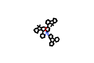 CC1(C)c2ccccc2-c2c(-c3ccccc3N(c3ccc(-c4cccc5c4C(C)(C)c4ccccc4-5)cc3)c3ccc4c(c3)-c3ccccc3C43CCCCC3)cccc21